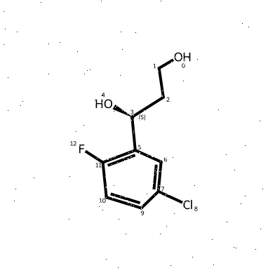 OCC[C@H](O)c1cc(Cl)ccc1F